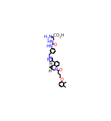 Cc1cccc(OCCCC(=O)N2C[C@@H]3C[C@@H]3c3c(-c4cnn(Cc5cccc(NC(=O)NC[C@@H](N)C(=O)O)c5)c4)cccc32)c1C